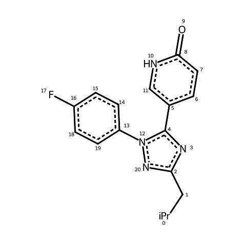 CC(C)Cc1nc(-c2ccc(=O)[nH]c2)n(-c2ccc(F)cc2)n1